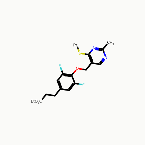 CCOC(=O)CCc1cc(F)c(OCc2cnc(C)nc2SC(C)C)c(F)c1